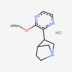 CCCCCCOc1nccnc1C1CN2CCC1C2.Cl